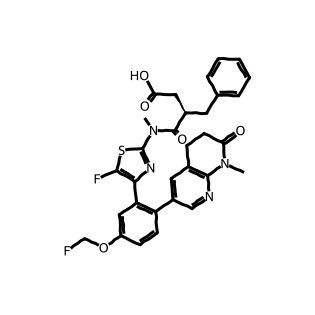 CN(C(=O)[C@@H](CC(=O)O)Cc1ccccc1)c1nc(-c2cc(OCF)ccc2-c2cnc3c(c2)CCC(=O)N3C)c(F)s1